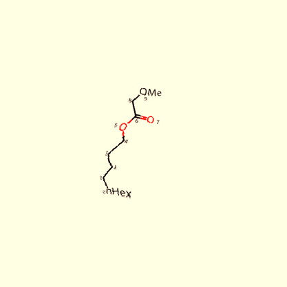 CCCCCCCCCCOC(=O)COC